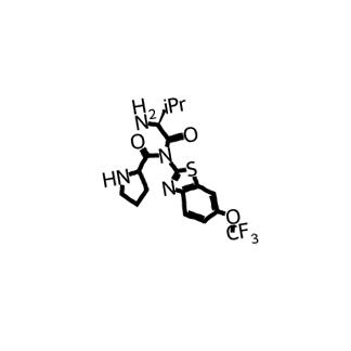 CC(C)[C@H](N)C(=O)N(C(=O)C1CCCN1)c1nc2ccc(OC(F)(F)F)cc2s1